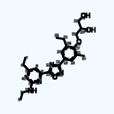 CCNc1nc(CC)cc(-c2nc(-c3cc(C)c(OCC(O)CO)c(CC)c3)no2)n1